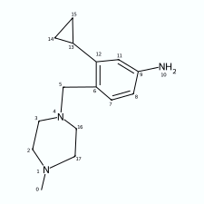 CN1CCN(Cc2ccc(N)cc2C2CC2)CC1